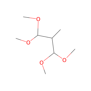 COC(OC)C(C)C(OC)OC